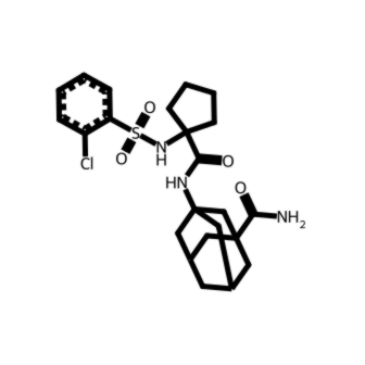 NC(=O)C12CC3CC(CC(NC(=O)C4(NS(=O)(=O)c5ccccc5Cl)CCCC4)(C3)C1)C2